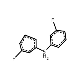 Fc1cccc([SiH2]c2cccc(F)c2)c1